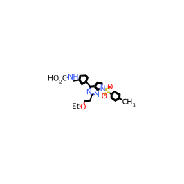 CCOC=Cc1nc(-c2cccc(CNC(=O)O)c2)c2ccn(S(=O)(=O)c3ccc(C)cc3)c2n1